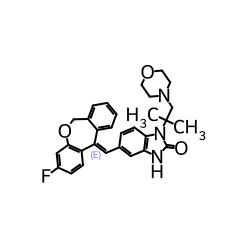 CC(C)(CN1CCOCC1)n1c(=O)[nH]c2cc(/C=C3\c4ccccc4COc4cc(F)ccc43)ccc21